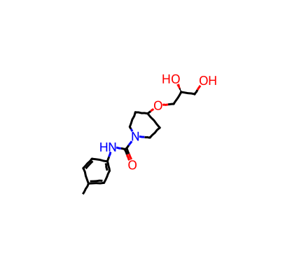 Cc1ccc(NC(=O)N2CCC(OC[C@@H](O)CO)CC2)cc1